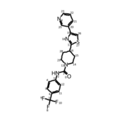 O=C(Nc1ccc(C(F)(F)F)cc1)N1CCC(c2nc(-c3cccnc3)cs2)CC1